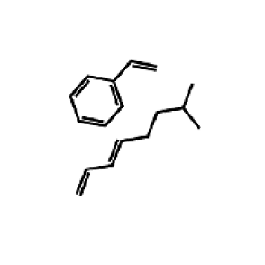 C=CC=CCCC(C)C.C=Cc1ccccc1